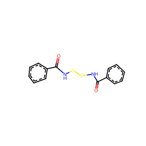 O=C(NSSNC(=O)c1ccccc1)c1ccccc1